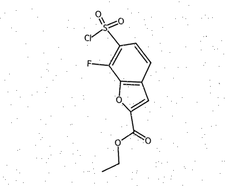 CCOC(=O)c1cc2ccc(S(=O)(=O)Cl)c(F)c2o1